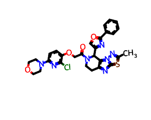 Cc1nn2c3c(nc2s1)CCN(C(=O)COc1ccc(N2CCOCC2)nc1Cl)C3c1coc(-c2ccccc2)n1